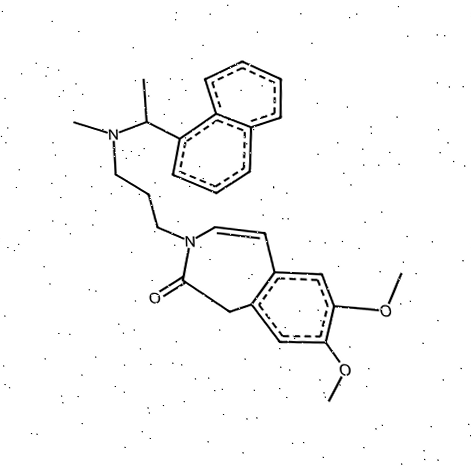 COc1cc2c(cc1OC)CC(=O)N(CCCN(C)C(C)c1cccc3ccccc13)C=C2